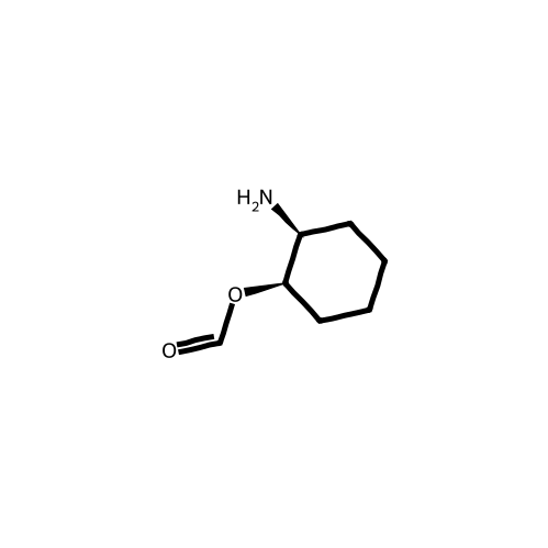 N[C@H]1CCCC[C@H]1OC=O